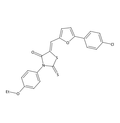 CCOc1ccc(N2C(=O)C(=Cc3ccc(-c4ccc(Cl)cc4)o3)SC2=S)cc1